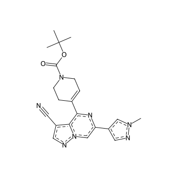 Cn1cc(-c2cn3ncc(C#N)c3c(C3=CCN(C(=O)OC(C)(C)C)CC3)n2)cn1